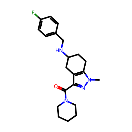 Cn1nc(C(=O)N2CCCCC2)c2c1CCC(NCc1ccc(F)cc1)C2